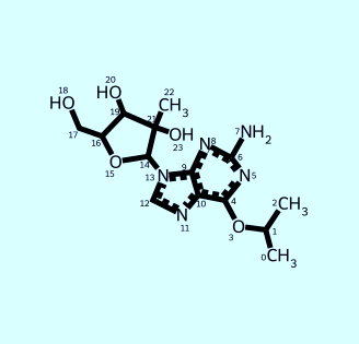 CC(C)Oc1nc(N)nc2c1ncn2C1OC(CO)C(O)C1(C)O